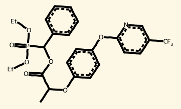 CCOP(=O)(OCC)C(OC(=O)C(C)Oc1ccc(Oc2ccc(C(F)(F)F)cn2)cc1)c1ccccc1